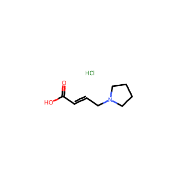 Cl.O=C(O)/C=C/CN1CCCC1